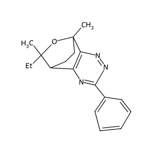 CCC1(C)OC2(C)CCC1c1nc(-c3ccccc3)nnc12